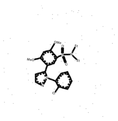 CCN(CC)S(=O)(=O)c1cc(-c2ccnn2-c2ccccc2Cl)c(OC)cc1OC